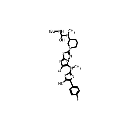 CCc1nc2sc(N3CCCC(N(C)C(O)NC(C)(C)C)C3)nn2c1N(C)c1nc(-c2ccc(F)cc2)c(C#N)s1